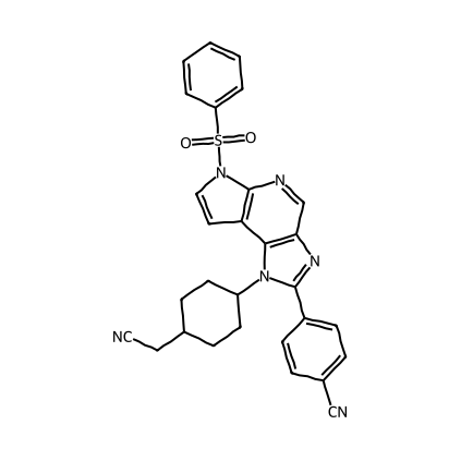 N#CCC1CCC(n2c(-c3ccc(C#N)cc3)nc3cnc4c(ccn4S(=O)(=O)c4ccccc4)c32)CC1